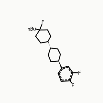 CCCCC1(F)CCC([C@H]2CC[C@H](c3ccc(F)c(F)c3)CC2)CC1